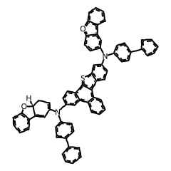 C1=C2c3ccccc3O[C@@H]2CC=C1N(c1ccc(-c2ccccc2)cc1)c1ccc2c(c1)c1ccccc1c1c3ccc(N(c4ccc(-c5ccccc5)cc4)c4ccc5oc6ccccc6c5c4)cc3sc21